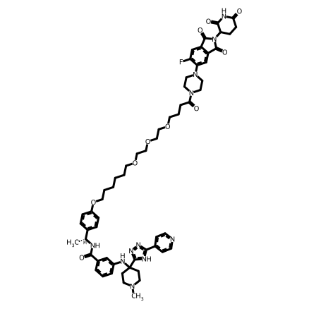 C[C@@H](NC(=O)c1cccc(NC2(c3nnc(-c4ccncc4)[nH]3)CCN(C)CC2)c1)c1ccc(OCCCCCCOCCOCCOCCCC(=O)N2CCN(c3cc4c(cc3F)C(=O)N(C3CCC(=O)NC3=O)C4=O)CC2)cc1